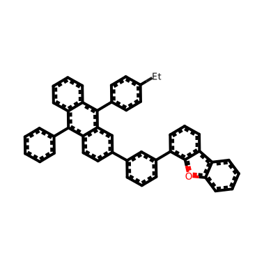 CCc1ccc(-c2c3ccccc3c(-c3ccccc3)c3ccc(-c4cccc(-c5cccc6c5oc5ccccc56)c4)cc23)cc1